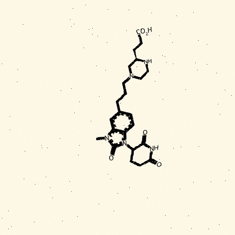 Cn1c(=O)n(C2CCC(=O)NC2=O)c2ccc(CCCN3CCN[C@H](CCC(=O)O)C3)cc21